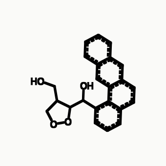 OCC1COOC1C(O)c1cccc2ccc3cc4ccccc4cc3c12